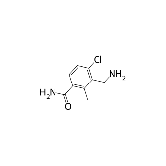 Cc1c(C(N)=O)ccc(Cl)c1CN